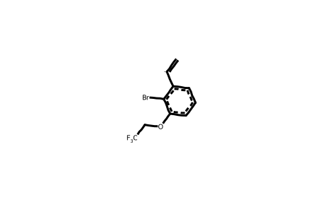 C=[C]c1cccc(OCC(F)(F)F)c1Br